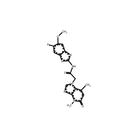 COc1cc2nc(NC(=O)Cn3cnc4c3c(C)cc(=O)n4C)sc2cc1F